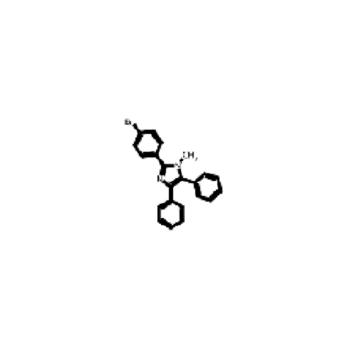 Cn1c(-c2ccc(Br)cc2)nc(-c2ccccc2)c1-c1ccccc1